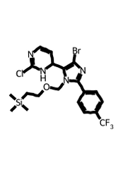 C[Si](C)(C)CCOCn1c(-c2ccc(C(F)(F)F)cc2)nc(Br)c1C1C=CN=C(Cl)N1